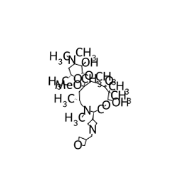 CO[C@]1(C)C[C@@H](C)CN(C)[C@H](C2CN(CC3COC3)C2)COC(O)C(C)(C)C(=O)[C@H](C)[C@H]1O[C@@H]1O[C@H](C)C[C@H](N(C)C)[C@H]1O